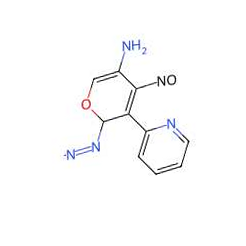 [N]=NC1OC=C(N)C(N=O)=C1c1ccccn1